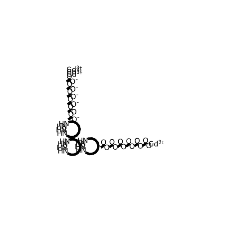 C1CCCCCNNNNCCCC1.C1CCCCCNNNNCCCC1.C1CCCCCNNNNCCCC1.CC(=O)[O-].CC(=O)[O-].CC(=O)[O-].CC(=O)[O-].CC(=O)[O-].CC(=O)[O-].CC(=O)[O-].CC(=O)[O-].CC(=O)[O-].CC(=O)[O-].CC(=O)[O-].CC(=O)[O-].[Gd+3].[Gd+3].[Gd+3].[Gd+3]